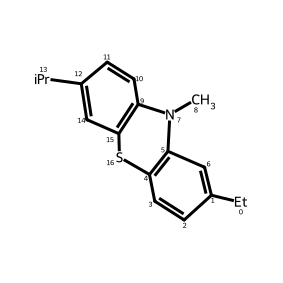 CCc1ccc2c(c1)N(C)c1ccc(C(C)C)cc1S2